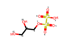 O=S(=O)(O)S(=O)(=O)OCC(O)CO